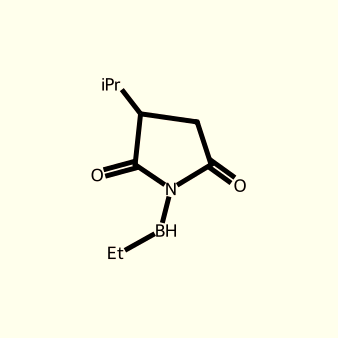 CCBN1C(=O)CC(C(C)C)C1=O